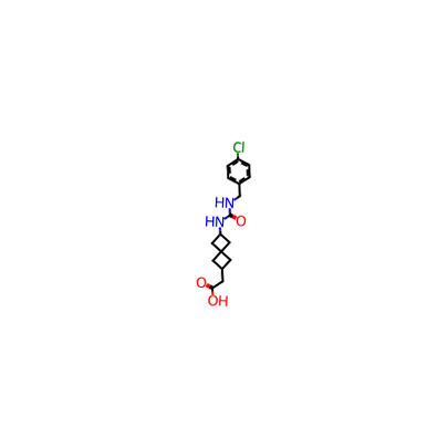 O=C(O)CC1CC2(C1)CC(NC(=O)NCc1ccc(Cl)cc1)C2